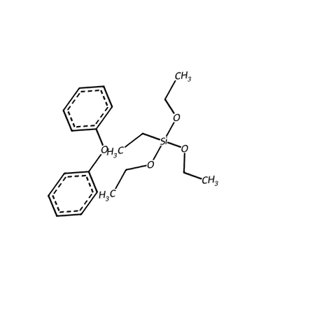 CCO[Si](CC)(OCC)OCC.c1ccc(Oc2ccccc2)cc1